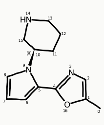 Cc1cnc(-c2cccn2[C@@H]2CCCNC2)o1